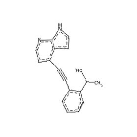 CC(O)c1ccccc1C#Cc1ccnc2[nH]ccc12